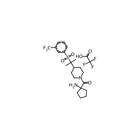 CC(C)(C1CCN(C(=O)C2(N)CCCC2)CC1)S(=O)(=O)c1cccc(C(F)(F)F)c1.O=C(O)C(F)(F)F